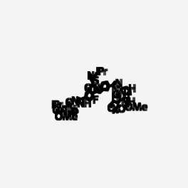 COC(=O)NC(C(=O)N1CCC[C@H]1c1ncc(-c2cc(F)c3c(c2)OC(c2cnc(C(C)C)s2)n2c-3cc3cc(-c4cnc([C@@H]5C[C@H]6C[C@H]6N5C(=O)C(NC(=O)OC)C5CCOC(C)(C)C5)[nH]4)ccc32)[nH]1)C(C)C